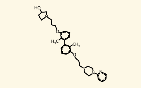 Cc1c(OCCCN2CCN(c3ccccn3)CC2)cccc1-c1cccc(OCCCN2CCC(O)C2)c1C